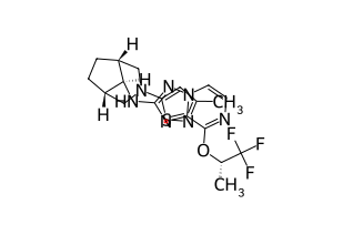 Cc1cc(N2C[C@H]3CC[C@@H](C2)[C@@H]3Nc2nc3c(O[C@@H](C)C(F)(F)F)nccn3n2)sn1